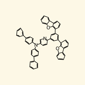 c1ccc(-c2ccc(N(c3ccc(-c4ccccc4)cc3)c3ccc(-c4cc(-c5cccc6c5oc5ccccc56)cc(-c5cccc6c5oc5ccccc56)c4)nc3)cc2)cc1